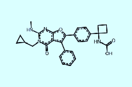 CNc1nc2oc(-c3ccc(C4(NC(=O)O)CCC4)cc3)c(-c3ccccc3)c2c(=O)n1CC1CC1